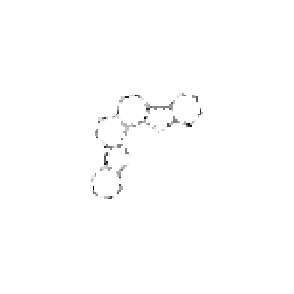 c1ccc2c(c1)oc1c2ccc2ccc3c4ccccc4sc3c21